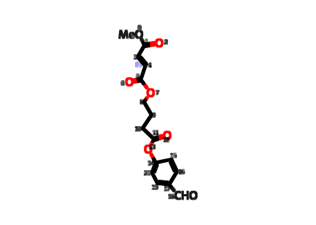 COC(=O)/C=C/C(=O)OCCCC(=O)Oc1ccc(C=O)cc1